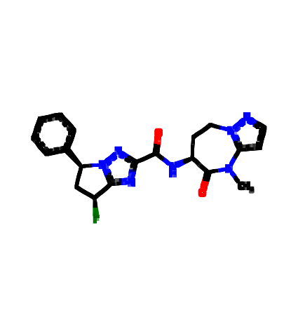 CN1C(=O)[C@@H](NC(=O)c2nc3n(n2)[C@H](c2ccccc2)C[C@@H]3F)CCn2nccc21